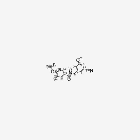 COc1cc(C#N)cc(CNC(=O)c2cnc(OC(F)F)c(F)c2)c1